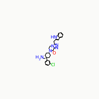 NC[C@]1(c2cccc(Cl)c2)CC[C@@H](N2CCn3c(Cc4cc5ccccc5[nH]4)nnc3C2=O)CC1